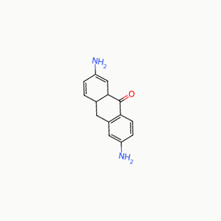 NC1=CC2C(=O)c3ccc(N)cc3CC2C=C1